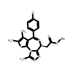 Cc1sc2c(c1C)C(c1ccc(Cl)cc1)=N[C@@H](CC(=O)OC(C)(C)C)c1nnc(C(F)(F)F)n1-2